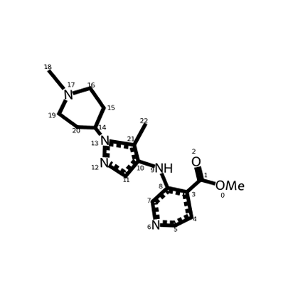 COC(=O)c1ccncc1Nc1cnn(C2CCN(C)CC2)c1C